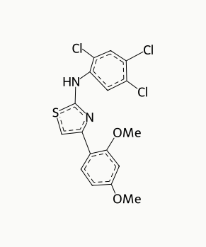 COc1ccc(-c2csc(Nc3cc(Cl)c(Cl)cc3Cl)n2)c(OC)c1